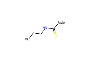 CNC(=S)NCCC(C)(C)C